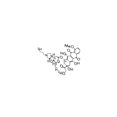 COc1cccc2c1C(=O)c1c(O)c3c(c(O)c1C2=O)C[C@@](O)(C(=O)CO)C[C@@H]3O[C@H]1C[C@H]2[C@H](O[C@@H]3CN(CCCS)CCN32)[C@H](C)O1